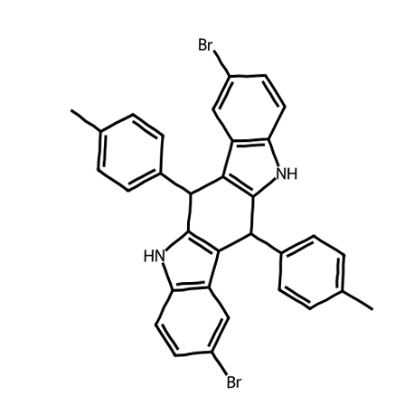 Cc1ccc(C2c3[nH]c4ccc(Br)cc4c3C(c3ccc(C)cc3)c3[nH]c4ccc(Br)cc4c32)cc1